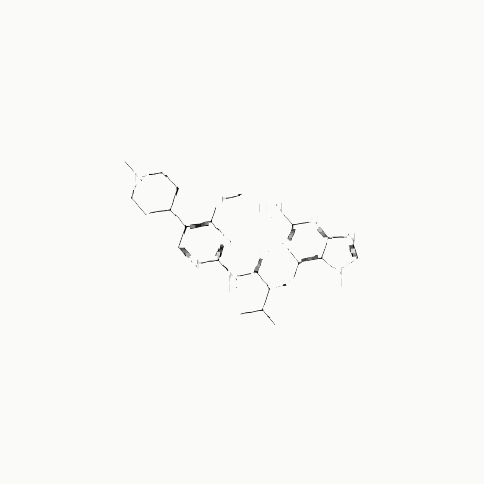 COc1nc(NC(=O)[C@@H](Sc2nc(N)nc3nc[nH]c23)C(C)C)ncc1C1CCN(C)CC1